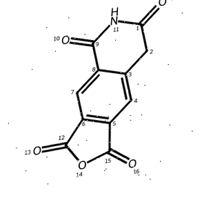 O=C1Cc2cc3c(cc2C(=O)N1)C(=O)OC3=O